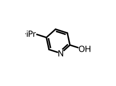 C[C](C)c1ccc(O)nc1